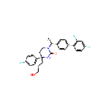 CC(c1ccc(-c2ccc(F)cc2F)cc1)N1CCC(CCCO)(c2ccc(F)cc2)NC1=O